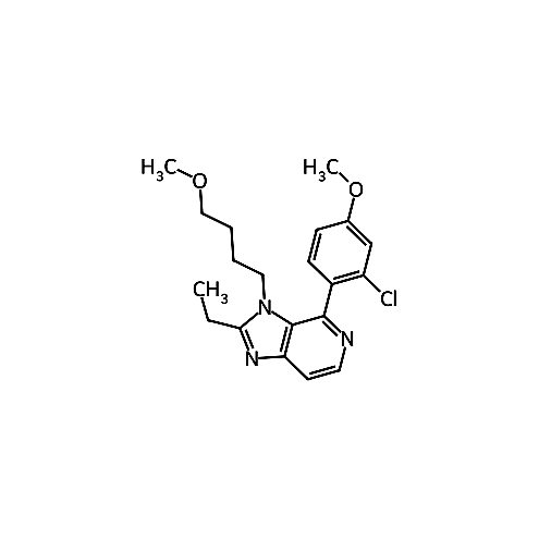 CCc1nc2ccnc(-c3ccc(OC)cc3Cl)c2n1CCCCOC